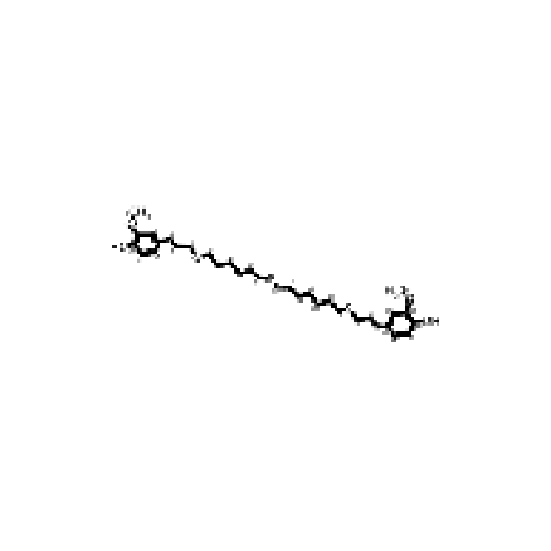 COc1cc(CCCSCCCCCCSSCCCCCCSCCCc2ccc(O)c(OC)c2)ccc1O